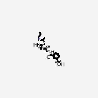 C=C/C=N\C(C)SC(=N)NC(=O)CNC(=O)c1cccc(C(C)(C)O)c1